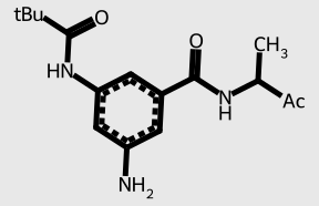 CC(=O)C(C)NC(=O)c1cc(N)cc(NC(=O)C(C)(C)C)c1